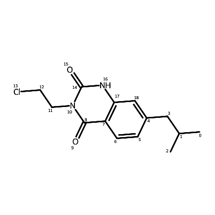 CC(C)Cc1ccc2c(=O)n(CCCl)c(=O)[nH]c2c1